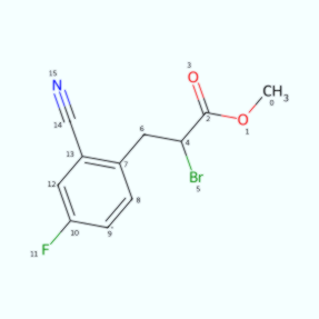 COC(=O)C(Br)Cc1c[c]c(F)cc1C#N